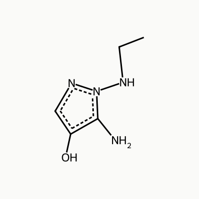 CCNn1ncc(O)c1N